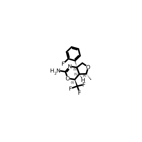 C[C@H]1OC[C@]2(c3ccccc3F)N=C(N)O[C@H](C(F)(F)F)[C@H]12